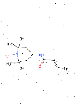 C/C=C/C(=O)NC1CC(C)(C)N([O])C(C)(C)C1